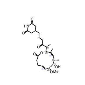 CO[C@H]1/C=C/CCC(=O)O[C@H]([C@H](C)C(=O)CCCC2CC(=O)NC(=O)C2)/C(C)=C\[C@@H](C)[C@@H]1O